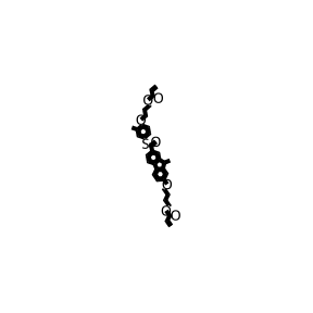 C=CC(=O)OCCCCOc1ccc2c(c1)C(C)c1cc(C(=O)Sc3ccc(OCCCOC(=O)C=C)c(C)c3)ccc1-2